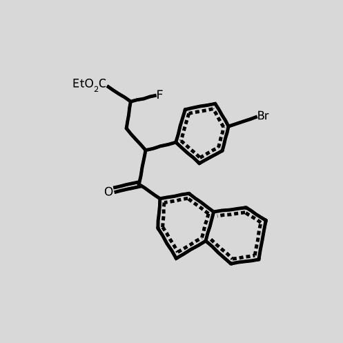 CCOC(=O)C(F)CC(C(=O)c1ccc2ccccc2c1)c1ccc(Br)cc1